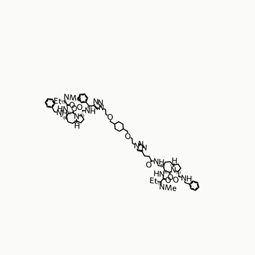 CC[C@H](NC)C(=O)N[C@@H]1C(=O)N2[C@@H](CC[C@@H]1CNC(=O)CCc1cn(CCOCC3CCC(COCCn4cc([C@@H](NC(=O)[C@@H]5CC[C@@H]6CC[C@H](CNCc7ccccc7)[C@H](NC(=O)[C@H](CC)NC)C(=O)N65)c5ccccc5)nn4)CC3)nn1)CC[C@H]2C(=O)NCc1ccccc1